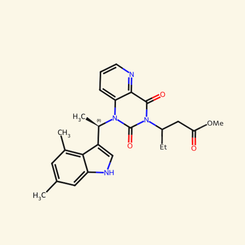 CCC(CC(=O)OC)n1c(=O)c2ncccc2n([C@H](C)c2c[nH]c3cc(C)cc(C)c23)c1=O